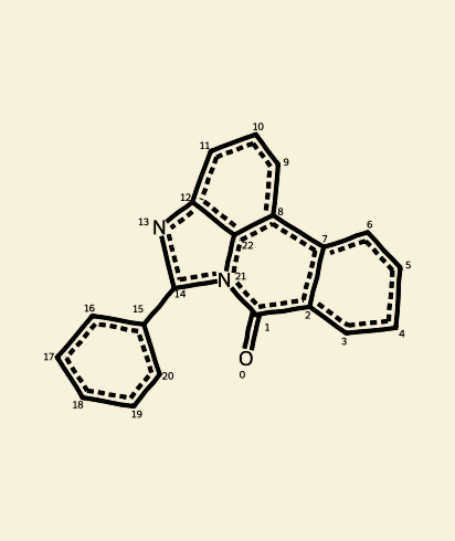 O=c1c2ccccc2c2cccc3nc(-c4ccccc4)n1c32